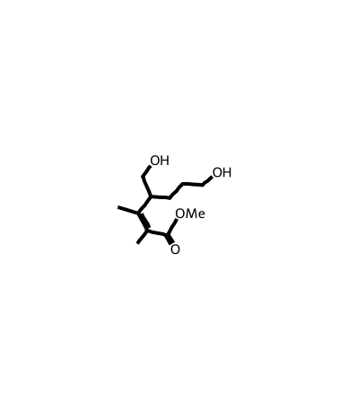 COC(=O)C(C)=C(C)C(CO)CCCO